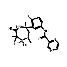 CN1C[C@@](C)(c2cc(NC(=O)c3cnccn3)ccc2F)NC(=N)C(C)(C)S1(O)O